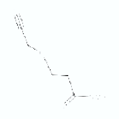 C#CCOCCC(=O)NC